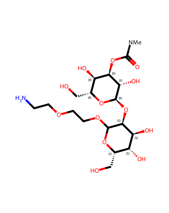 CNC(=O)O[C@H]1[C@H](O)[C@@H](O[C@@H]2C(OCCOCCN)O[C@@H](CO)[C@@H](O)[C@@H]2O)O[C@H](CO)[C@H]1O